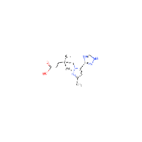 Cc1cc(-c2nc[nH]n2)n(CC(C)(C)CCC(=O)O)n1